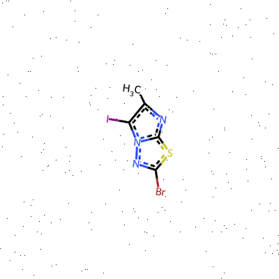 Cc1nc2sc(Br)nn2c1I